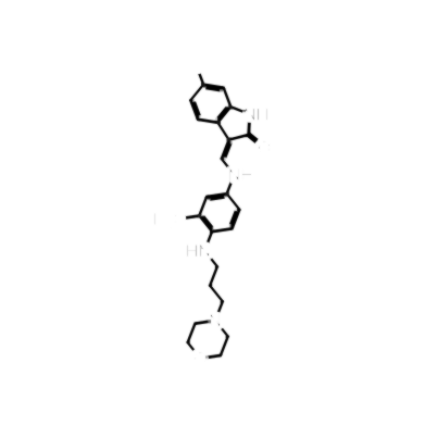 Cc1cc(NC=C2C(=O)Nc3cc(F)ccc32)ccc1NCCCN1CCOCC1